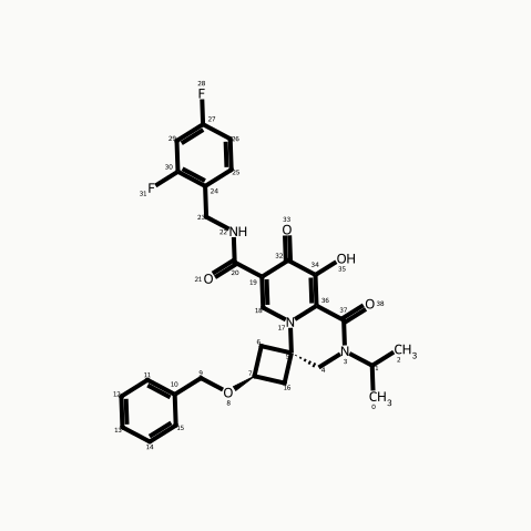 CC(C)N1C[C@]2(C[C@H](OCc3ccccc3)C2)n2cc(C(=O)NCc3ccc(F)cc3F)c(=O)c(O)c2C1=O